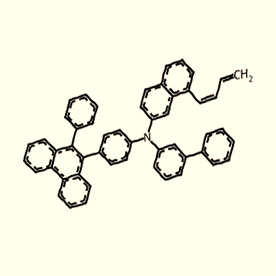 C=C/C=C\c1cccc2ccc(N(c3ccc(-c4c(-c5ccccc5)c5ccccc5c5ccccc45)cc3)c3cccc(-c4ccccc4)c3)cc12